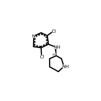 Clc1cncc(Cl)c1N[C@@H]1CCCNC1